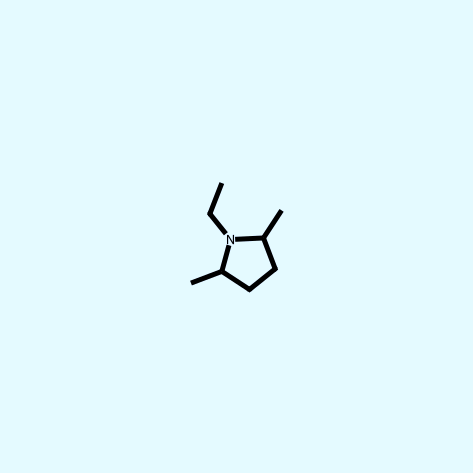 CCN1C(C)CCC1C